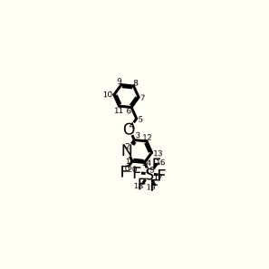 Fc1nc(OCc2ccccc2)ccc1S(F)(F)(F)(F)F